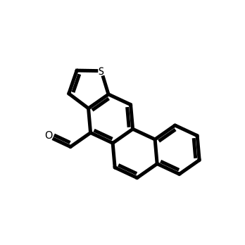 O=Cc1c2ccsc2cc2c1ccc1ccccc12